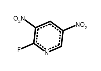 O=[N+]([O-])c1cnc(F)c([N+](=O)[O-])c1